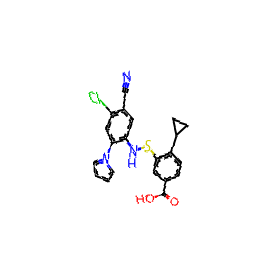 N#Cc1cc(NSc2cc(C(=O)O)ccc2C2CC2)c(-n2cccc2)cc1Cl